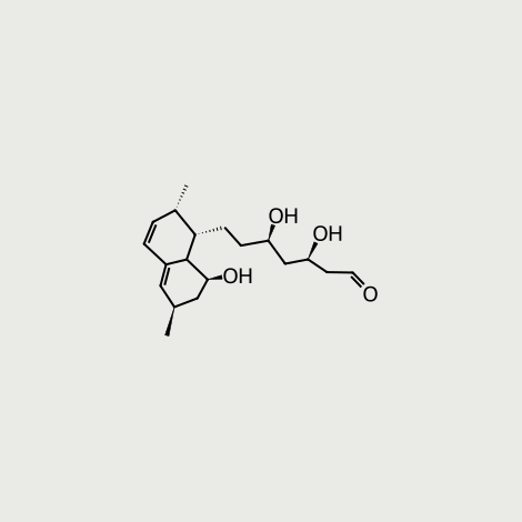 C[C@H]1C=C2C=C[C@H](C)[C@H](CC[C@@H](O)C[C@@H](O)CC=O)C2[C@@H](O)C1